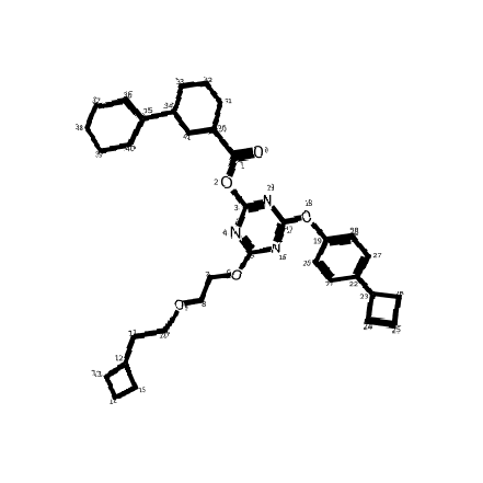 O=C(Oc1nc(OCCOCCC2CCC2)nc(Oc2ccc(C3CCC3)cc2)n1)C1CCCC(C2CCCCC2)C1